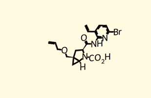 C=CCOC[C@@]12C[C@@H](C(=O)Nc3nc(Br)ccc3C=C)N(C(=O)O)[C@@H]1C2